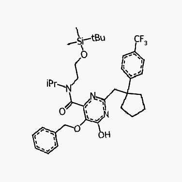 CC(C)N(CCO[Si](C)(C)C(C)(C)C)C(=O)c1nc(CC2(c3ccc(C(F)(F)F)cc3)CCCC2)nc(O)c1OCc1ccccc1